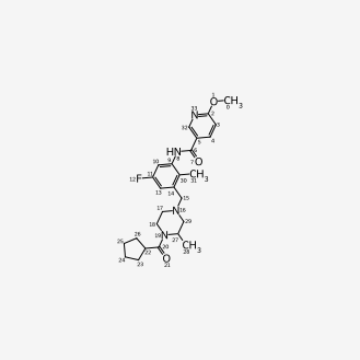 COc1ccc(C(=O)Nc2cc(F)cc(CN3CCN(C(=O)C4CCCC4)C(C)C3)c2C)cn1